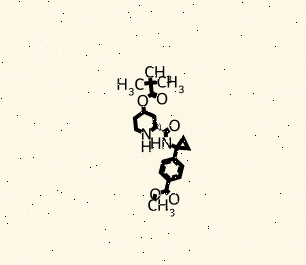 COC(=O)c1ccc(C2(NC(=O)[C@H]3CC(OC(=O)C(C)(C)C)CCN3)CC2)cc1